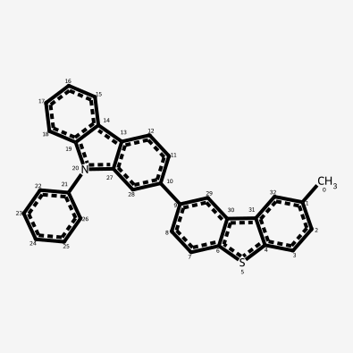 Cc1ccc2sc3ccc(-c4ccc5c6ccccc6n(-c6ccccc6)c5c4)cc3c2c1